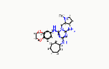 CCN1CCCC1CN1C(Nc2ccc3c(c2)OCCO3)=NC(NC2CCCCCC2)=NC1N